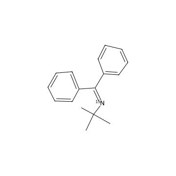 CC(C)(C)[15N]=C(c1ccccc1)c1ccccc1